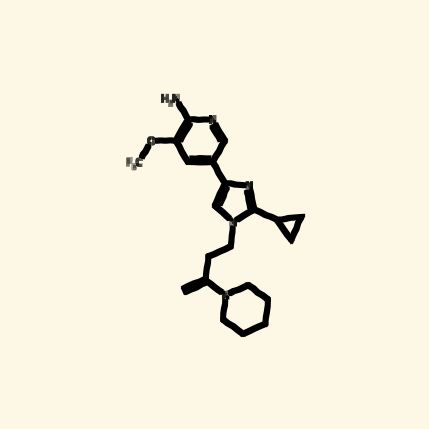 C=C(CCn1cc(-c2cnc(N)c(OC(F)(F)F)c2)nc1C1CC1)N1CCCCC1